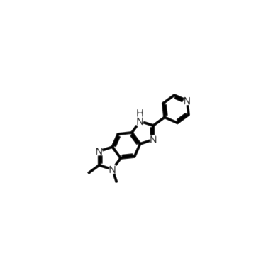 Cc1nc2cc3[nH]c(-c4ccncc4)nc3cc2n1C